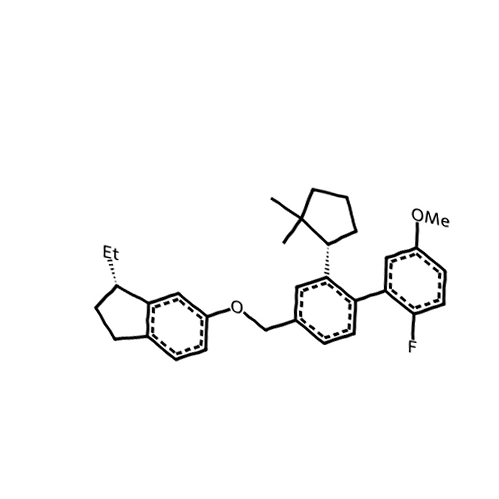 CC[C@H]1CCc2ccc(OCc3ccc(-c4cc(OC)ccc4F)c([C@H]4CCCC4(C)C)c3)cc21